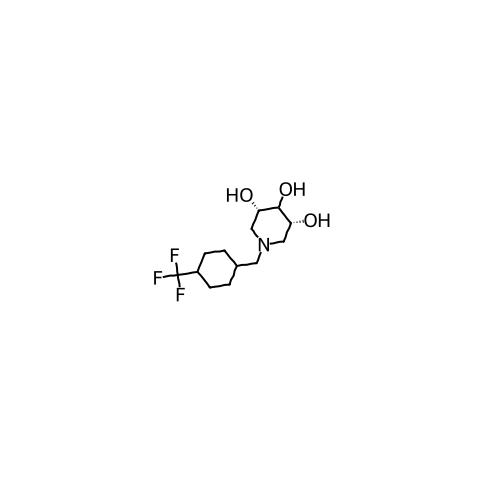 OC1[C@H](O)CN(CC2CCC(C(F)(F)F)CC2)C[C@@H]1O